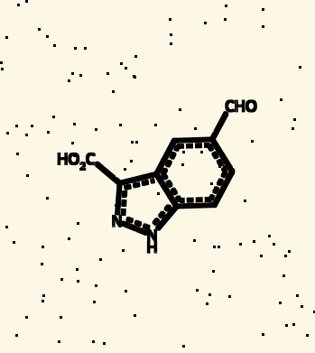 O=Cc1ccc2[nH]nc(C(=O)O)c2c1